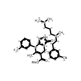 COC(=O)C1=C(C)N(c2cccc(C(F)(F)F)c2)c2n[nH]c(=O)n2[C@@H]1c1ccc(C#N)cc1CCN(C)CCCN(C)C